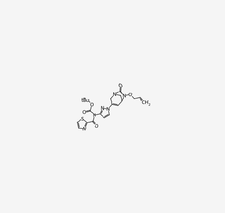 C=CCON1C(=O)N2CC(n3ccc(N(C(=O)OC(C)(C)C)C(=O)c4nccs4)n3)=CC1C2